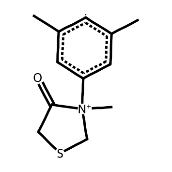 Cc1[c]c(C)cc([N+]2(C)CSCC2=O)c1